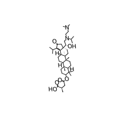 CC(C)C1=C2[C@H]3CC[C@@H]4[C@@]5(C)CC[C@H](OC(=O)C[C@@H](C)C(=O)O)C(C)(C)[C@@H]5CC[C@@]4(C)[C@]3(C)CC[C@@]2([C@@H](O)CN(CCN(C)C)C(C)C)CC1=O